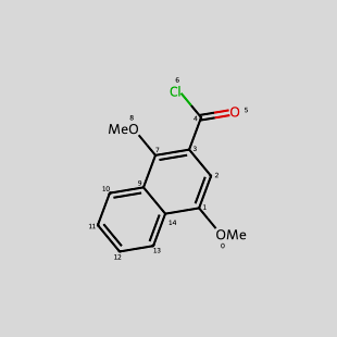 COc1cc(C(=O)Cl)c(OC)c2ccccc12